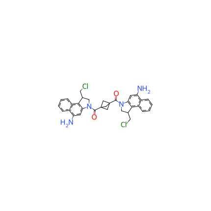 Nc1cc2c(c3ccccc13)C(CCl)CN2C(=O)C12CC(C(=O)N3CC(CCl)c4c3cc(N)c3ccccc43)(C1)C2